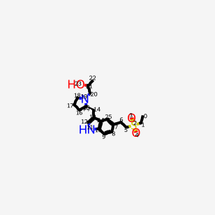 CCS(=O)(=O)CCc1ccc2[nH]cc(C[C@H]3CCCN3CC(C)O)c2c1